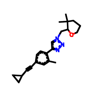 Cc1cc(C#CC2CC2)ccc1-c1cn(CC2OCCCC2(C)C)nn1